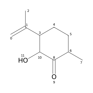 C=C(C)C1CCC(C)C(=O)C1O